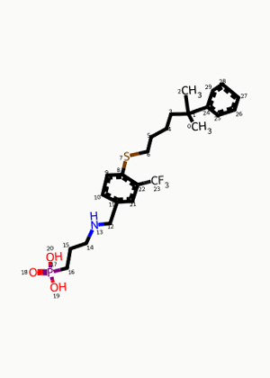 CC(C)(CCCCSc1ccc(CNCCCP(=O)(O)O)cc1C(F)(F)F)c1ccccc1